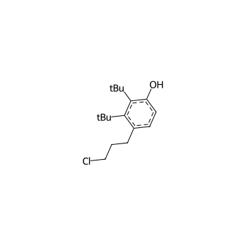 CC(C)(C)c1c(O)ccc(CCCCl)c1C(C)(C)C